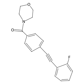 O=C(c1ccc(C#Cc2ccccc2F)cc1)N1CCOCC1